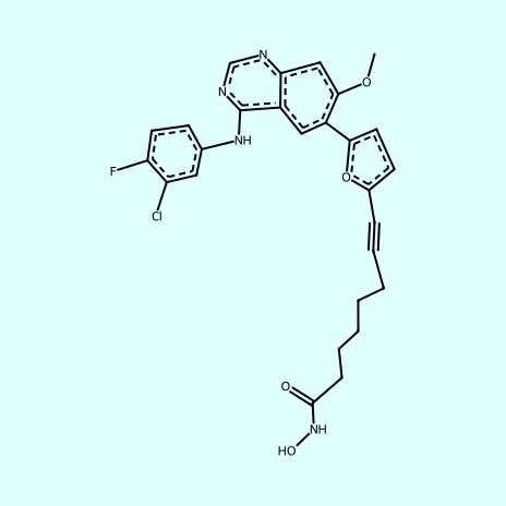 COc1cc2ncnc(Nc3ccc(F)c(Cl)c3)c2cc1-c1ccc(C#CCCCCCC(=O)NO)o1